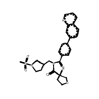 CS(=O)(=O)N1CCC(CN2C(=O)C3(CCOC3)N=C2c2ccc(-c3ccc4cccnc4c3)cc2)C1